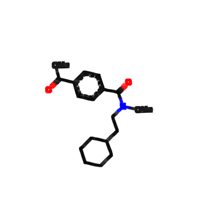 COC(=O)c1ccc(C(=O)N(CCC2CCCCC2)OC)cc1